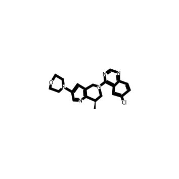 C[C@@H]1CN(c2ncnc3ccc(Cl)cc23)Cc2cc(N3CCOCC3)cnc21